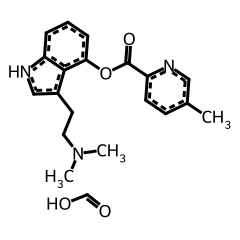 Cc1ccc(C(=O)Oc2cccc3[nH]cc(CCN(C)C)c23)nc1.O=CO